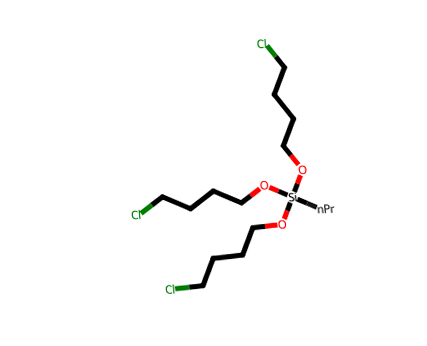 CCC[Si](OCCCCCl)(OCCCCCl)OCCCCCl